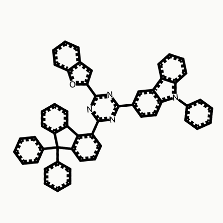 c1ccc(-n2c3ccccc3c3cc(-c4nc(-c5cc6ccccc6o5)nc(-c5cccc6c5-c5ccccc5C6(c5ccccc5)c5ccccc5)n4)ccc32)cc1